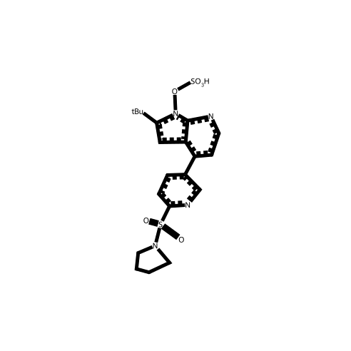 CC(C)(C)c1cc2c(-c3ccc(S(=O)(=O)N4CCCC4)nc3)ccnc2n1OS(=O)(=O)O